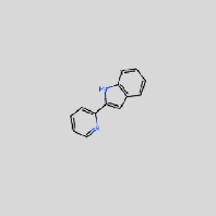 [c]1cccc2cc(-c3ccccn3)[nH]c12